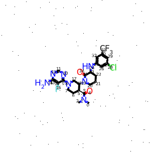 CN(C)C(=O)[C@H]1CCN(c2ncnc(N)c2F)C[C@@H]1N1CCCC(Nc2cc(Cl)cc(C(F)(F)F)c2)C1=O